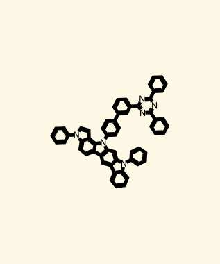 c1ccc(-c2nc(-c3ccccc3)nc(-c3cccc(-c4ccc(-n5c6cc7c(cc6c6ccc8c(ccn8-c8ccccc8)c65)c5ccccc5n7-c5ccccc5)cc4)c3)n2)cc1